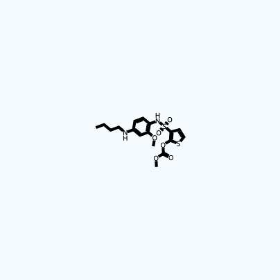 CCCCNc1ccc(NS(=O)(=O)c2ccsc2OC(=O)OC)c(OC)c1